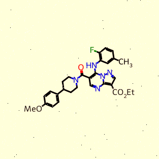 CCOC(=O)c1cnn2c(Nc3cc(C)ccc3F)c(C(=O)N3CCC(c4ccc(OC)cc4)CC3)cnc12